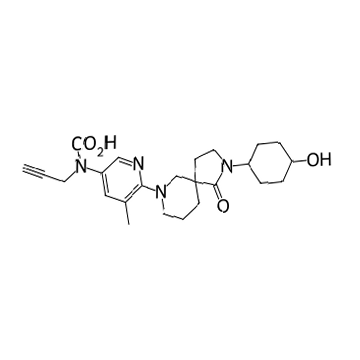 C#CCN(C(=O)O)c1cnc(N2CCCC3(CCN(C4CCC(O)CC4)C3=O)C2)c(C)c1